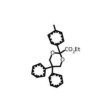 CCOC(=O)C1(c2ccc(C)cc2)OCC(c2ccccc2)(c2ccccc2)CO1